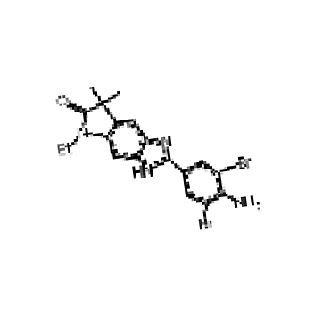 CCN1C(=O)C(C)(C)c2cc3nc(-c4cc(Br)c(N)c(Br)c4)[nH]c3cc21